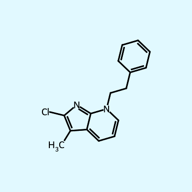 Cc1c2cccn(CCc3ccccc3)c-2nc1Cl